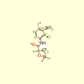 CC(O[Si](C)(C)C)(C(=O)Nc1ccc(I)c([N+](=O)[O-])c1Cl)C(F)(F)F